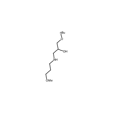 CCCCOCC(O)CNCCCOC